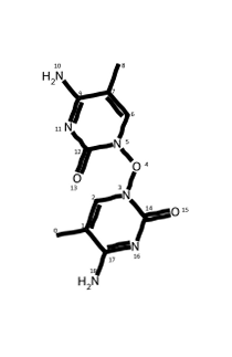 Cc1cn(On2cc(C)c(N)nc2=O)c(=O)nc1N